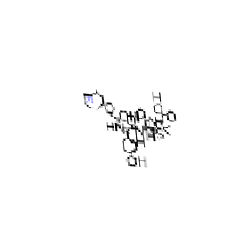 CC1(C)S[C@@H]2[C@H](NC(=O)[C@H](NC(O)COC3CC/C=C/CCC3)c3ccc(O)cc3)C(=O)N2[C@H]1C(=O)O